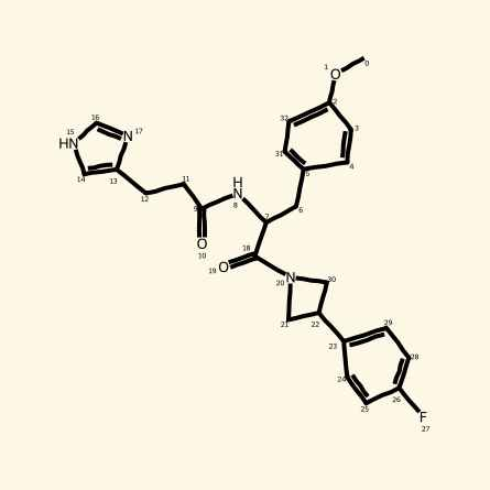 COc1ccc(CC(NC(=O)CCc2c[nH]cn2)C(=O)N2CC(c3ccc(F)cc3)C2)cc1